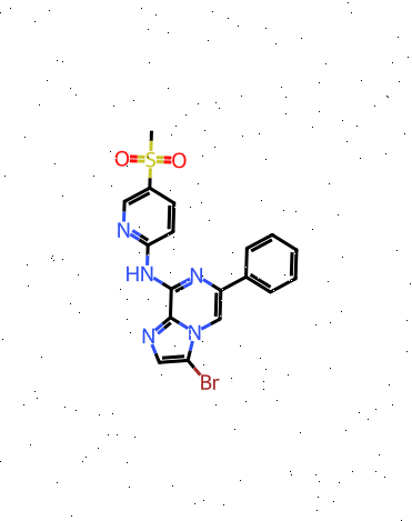 CS(=O)(=O)c1ccc(Nc2nc(-c3ccccc3)cn3c(Br)cnc23)nc1